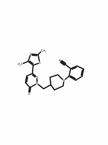 Cc1nc(C)c(-c2ccc(=O)n(CC3CCN(c4ccccc4C#N)CC3)n2)s1